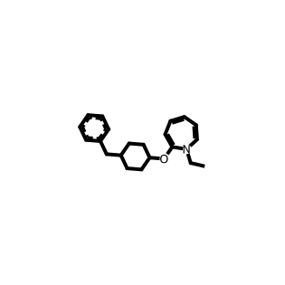 CCN1C=CC=CC=C1OC1CCC(Cc2ccccc2)CC1